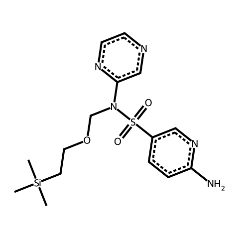 C[Si](C)(C)CCOCN(c1cnccn1)S(=O)(=O)c1ccc(N)nc1